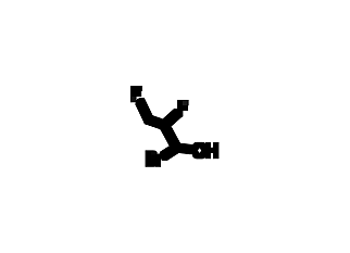 OC(Br)C(F)CF